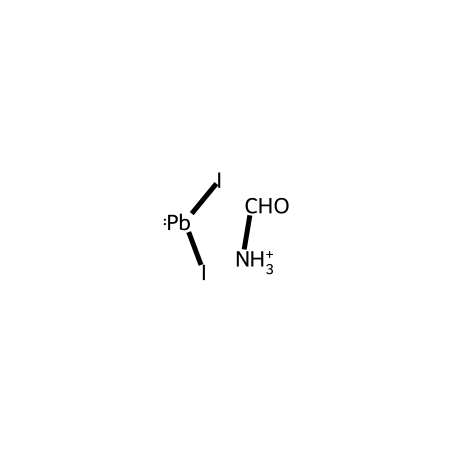 [I][Pb][I].[NH3+]C=O